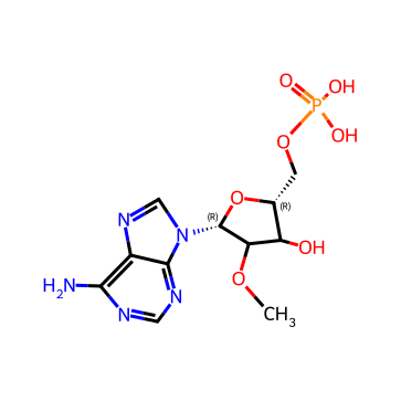 COC1C(O)[C@@H](COP(=O)(O)O)O[C@H]1n1cnc2c(N)ncnc21